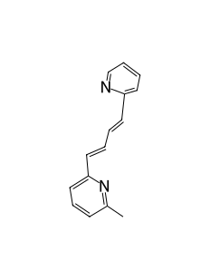 Cc1cccc(C=CC=Cc2ccccn2)n1